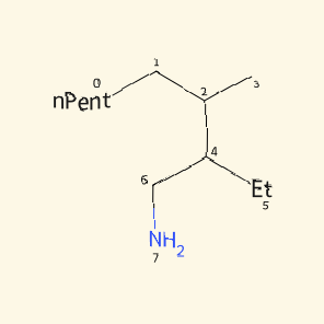 CCCCCCC(C)C(CC)CN